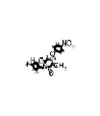 C[C@@H]1CN(COc2ccc([N+](=O)[O-])cc2)[C@@H](C)C(=C=O)N1Cc1ccc(F)cc1